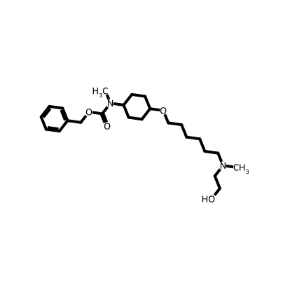 CN(CCO)CCCCCCOC1CCC(N(C)C(=O)OCc2ccccc2)CC1